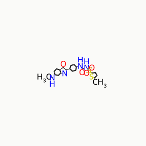 CNc1ccc2c(c1)N=C(c1ccc(NC(=O)NS(=O)(=O)c3ccc(C)s3)cc1)C2=O